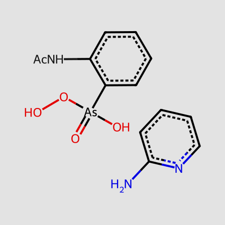 CC(=O)Nc1ccccc1[As](=O)(O)OO.Nc1ccccn1